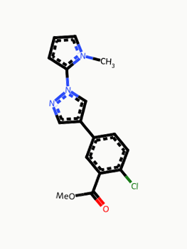 COC(=O)c1cc(-c2cnn(-c3cccn3C)c2)ccc1Cl